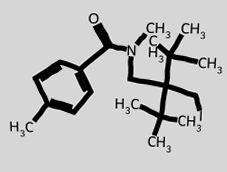 Cc1ccc(C(=O)N(C)CC(CI)(C(C)(C)C)C(C)(C)C)cc1